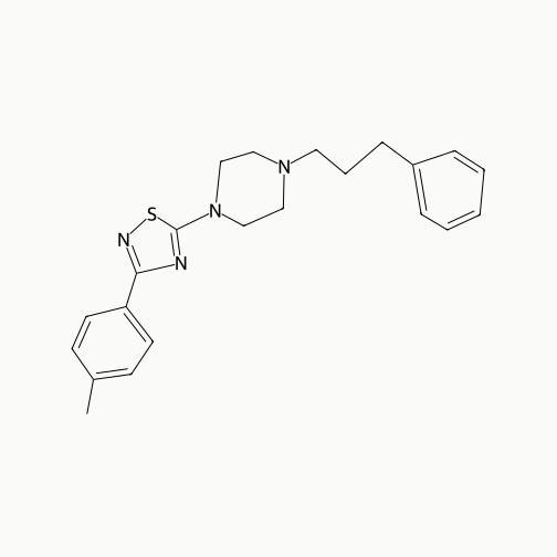 Cc1ccc(-c2nsc(N3CCN(CCCc4ccccc4)CC3)n2)cc1